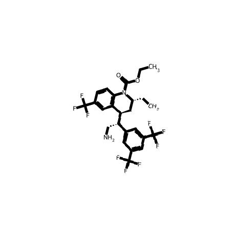 CCOC(=O)N1c2ccc(C(F)(F)F)cc2[C@H]([C@@H](CN)c2cc(C(F)(F)F)cc(C(F)(F)F)c2)C[C@H]1CC